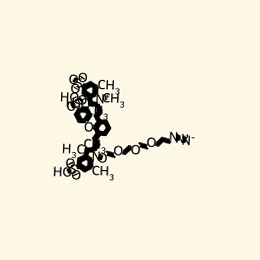 Cc1cc(S(=O)(=O)O)cc2c1N(OCCOCCOCCOCCCN=[N+]=[N-])/C(=C/C=C1\CCCC(/C=C/C3=[N+](C)c4c(C)cc(S(=O)(=O)[O-])cc4C3(C)C)=C1Oc1ccc(S(=O)(=O)O)cc1)C2(C)C